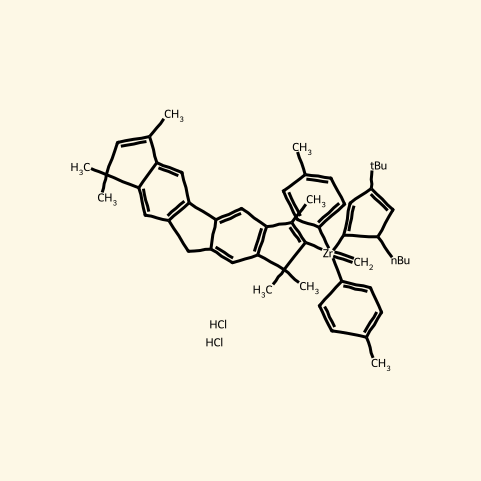 Cl.Cl.[CH2]=[Zr]([C]1=CC(C(C)(C)C)=CC1CCCC)([C]1=C(C)c2cc3c(cc2C1(C)C)Cc1cc2c(cc1-3)C(C)=CC2(C)C)([c]1ccc(C)cc1)[c]1ccc(C)cc1